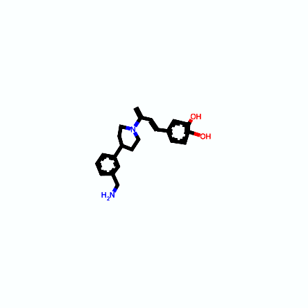 C=C(/C=C/c1ccc(O)c(O)c1)N1CCC(c2cccc(CN)c2)CC1